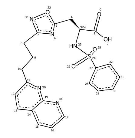 O=C(O)[C@H](Cc1nc(CCCc2ccc3cccnc3n2)no1)NS(=O)(=O)c1ccccc1